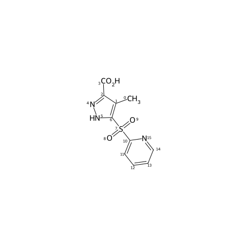 Cc1c(C(=O)O)n[nH]c1S(=O)(=O)c1ccccn1